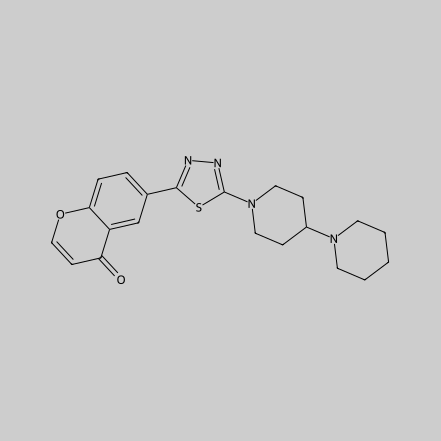 O=c1ccoc2ccc(-c3nnc(N4CCC(N5CCCCC5)CC4)s3)cc12